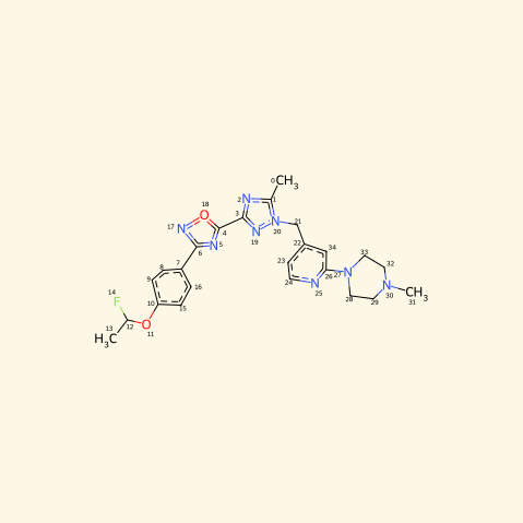 Cc1nc(-c2nc(-c3ccc(OC(C)F)cc3)no2)nn1Cc1ccnc(N2CCN(C)CC2)c1